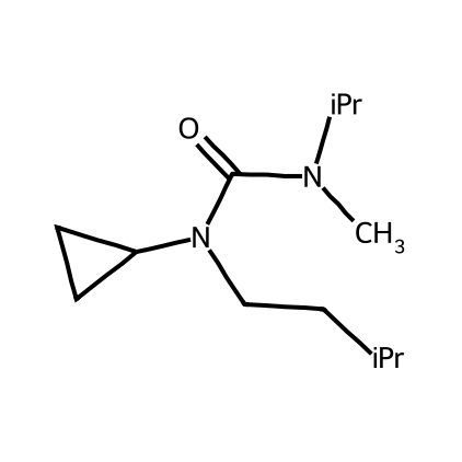 CC(C)CCN(C(=O)N(C)C(C)C)C1CC1